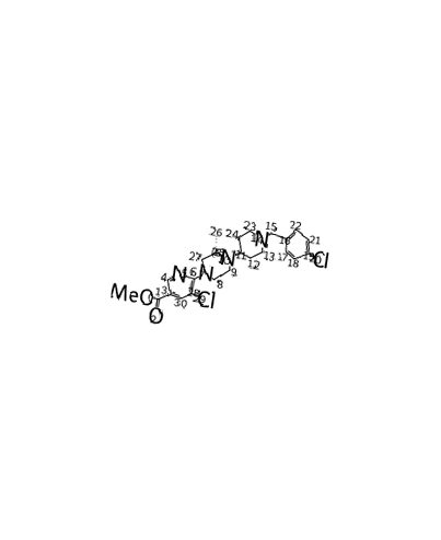 COC(=O)c1cnc(N2CCN(C3CCN(Cc4ccc(Cl)cc4)CC3)[C@@H](C)C2)c(Cl)c1